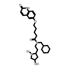 CCN1CC(O)CC1CCN(CC1CCCCC1)C(=O)CCCCOc1ccc2[nH]c(=O)ccc2c1